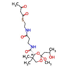 COC1(CC(C)O)OCC(C)(C)[C@H](C(=O)NCCC(=O)NCCSC(=O)CC(C)=O)O1